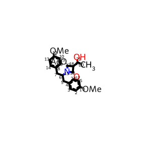 COc1ccc(CC(Cc2ccc(OC)cc2)N2C(=O)C(C(C)O)C2OC(C)=O)cc1